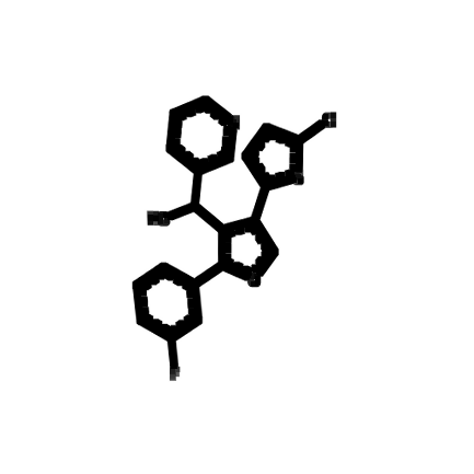 OC(c1cccnc1)c1c(-c2ccc(Cl)s2)coc1-c1cccc(F)c1